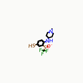 CN1CCC(Nc2ccc(S)cc2[S+]([O-])C(F)(F)F)CC1